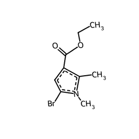 CCOC(=O)c1cc(Br)n(C)c1C